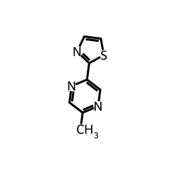 Cc1cnc(-c2nccs2)cn1